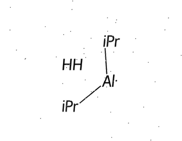 C[CH](C)[Al][CH](C)C.[HH]